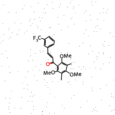 COc1c(C)c(OC)c(C(=O)C=Cc2cccc(C(F)(F)F)c2)c(OC)c1C